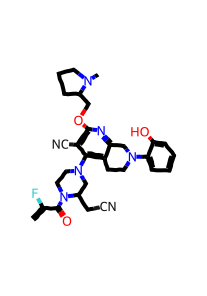 C=C(F)C(=O)N1CCN(c2c(C#N)c(OCC3CCCN3C)nc3c2CCN(c2ccccc2O)C3)CC1CC#N